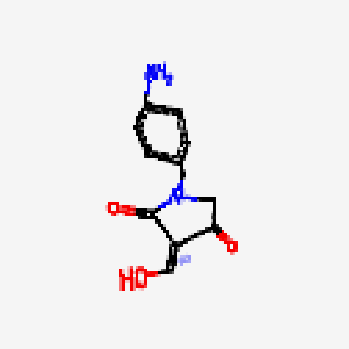 Nc1ccc(N2CC(=O)/C(=C/O)C2=O)cc1